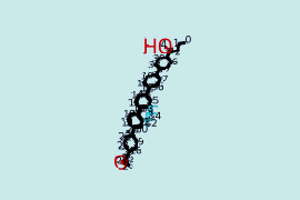 CCCC(O)C1CCC(C2CCC(c3ccc(-c4ccc(C5CCC(C6CO6)CC5)cc4F)c(F)c3)CC2)CC1